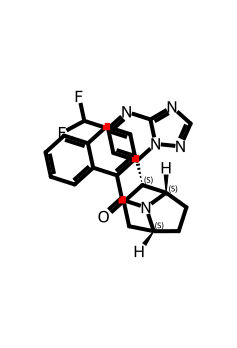 O=C(c1cccc2ccccc12)N1[C@H]2CC[C@H](c3cc(C(F)F)nc4ncnn34)[C@@H]1CC2